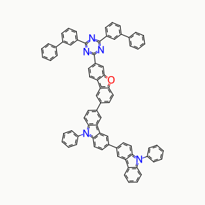 c1ccc(-c2cccc(-c3nc(-c4cccc(-c5ccccc5)c4)nc(-c4ccc5c(c4)oc4ccc(-c6ccc7c(c6)c6cc(-c8ccc9c(c8)c8ccccc8n9-c8ccccc8)ccc6n7-c6ccccc6)cc45)n3)c2)cc1